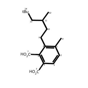 Cc1ccc(C(=O)O)c(C(=O)O)c1CCC(C)CC(C)(C)C